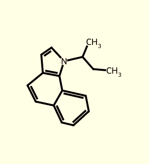 CCC(C)n1ccc2ccc3ccccc3c21